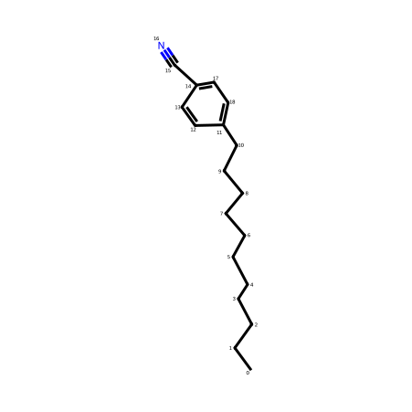 CCCCCCCCCCCc1ccc(C#N)cc1